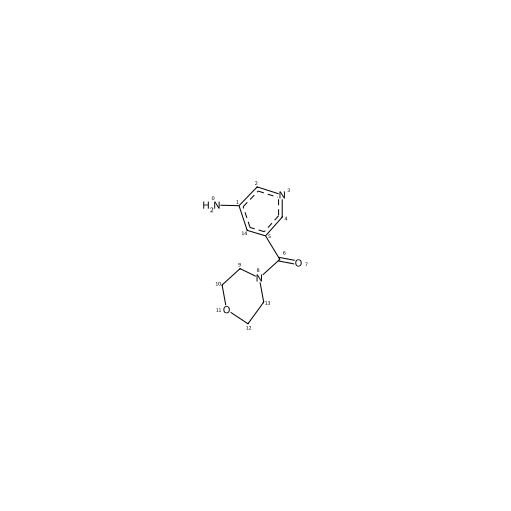 Nc1cncc(C(=O)N2CCOCC2)c1